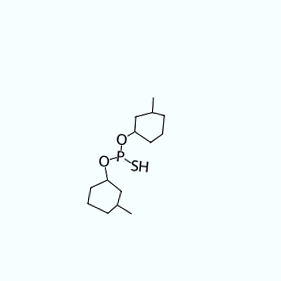 CC1CCCC(OP(S)OC2CCCC(C)C2)C1